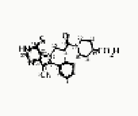 N#Cc1c(-c2ccccc2)n(CCC(=O)N2CCC(C(=O)O)CC2)c2c(=S)[nH]cnc12